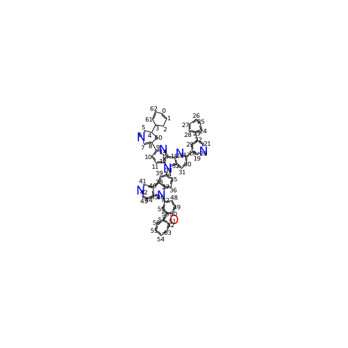 C1=CCC(C2C=NC=C(c3ccc4c(n3)c3nc(-c5cncc(-c6ccccc6)c5)ccc3n4-c3ccc4c(c3)c3cnccc3n4-c3ccc4oc5ccccc5c4c3)C2)C=C1